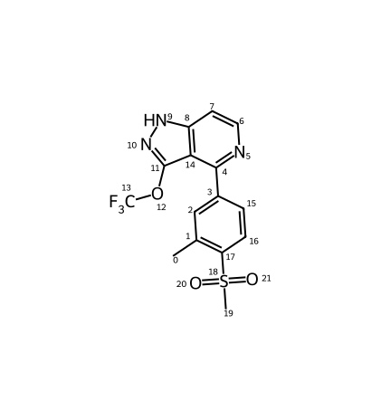 Cc1cc(-c2nccc3[nH]nc(OC(F)(F)F)c23)ccc1S(C)(=O)=O